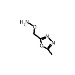 Cc1nnc(CON)o1